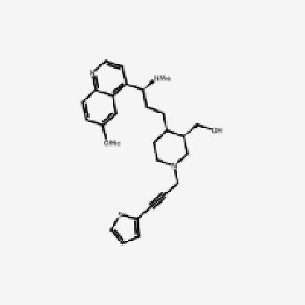 CN[C@@H](CC[C@@H]1CCN(CC#Cc2cccs2)C[C@@H]1CO)c1ccnc2ccc(OC)cc12